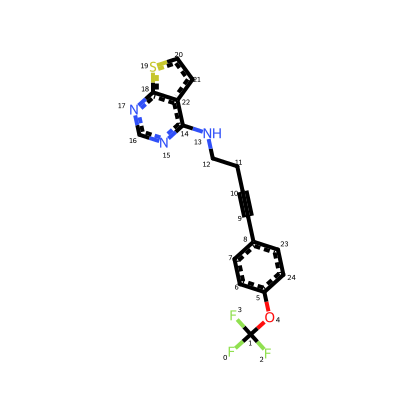 FC(F)(F)Oc1ccc(C#CCCNc2ncnc3sccc23)cc1